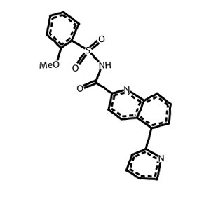 COc1ccccc1S(=O)(=O)NC(=O)c1ccc2c(-c3ccccn3)cccc2n1